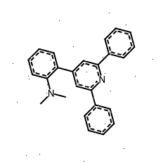 CN(C)c1ccccc1-c1cc(-c2ccccc2)nc(-c2ccccc2)c1